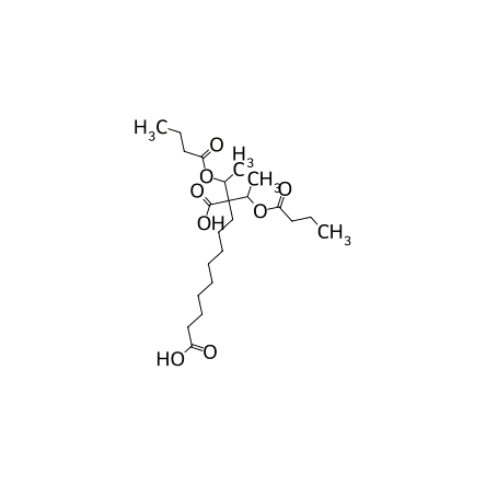 CCCC(=O)OC(C)C(CCCCCCCCC(=O)O)(C(=O)O)C(C)OC(=O)CCC